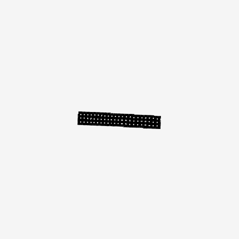 C1C2C3CC4C5C6C7C8C9C%10C%11C%12C%13C%14C%15C%16C%17C%18C%19C%20C%21C%22C%23C%24CC%25C%26CC%27C%28C%29C%30C%31C%32C%33C%34C%35C%36C%37C%38C%39C%40C%41C%42C%43C%44C%45C%46C1C21C34C52C%461C%451C62C72C%441C%431C82C92C%421C%411C%102C%112C%401C%391C%122C%132C%381C%371C%363C%354C%345C%336C%327C%318C%309C%29%10C%28%11C%26%27C%25%24C%23%11C%22%10C%219C%208C%197C%186C%175C%164C%153C%1421